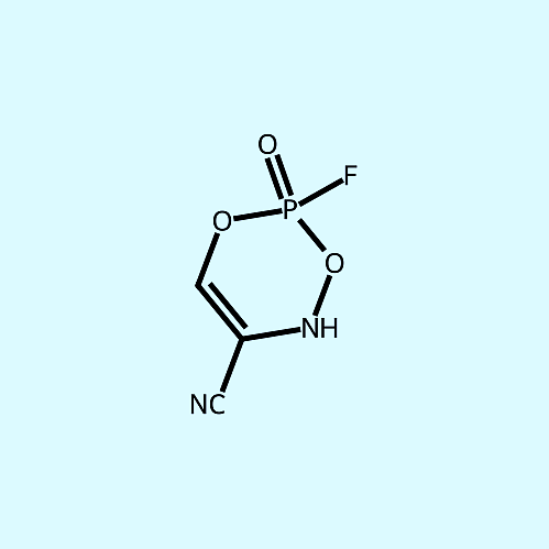 N#CC1=COP(=O)(F)ON1